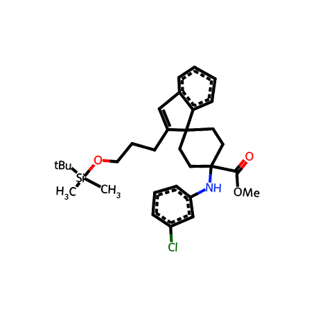 COC(=O)C1(Nc2cccc(Cl)c2)CCC2(CC1)C(CCCO[Si](C)(C)C(C)(C)C)=Cc1ccccc12